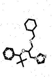 CC(C)(C)C(OC(CSCC1CCCCC1)Cn1ccnc1)c1ccccc1